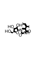 O=c1[nH]c(=O)n([C@H]2O[C@@H](CO)C(O)C2O)cc1/C(I)=C\I